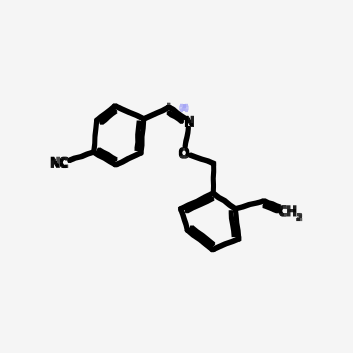 C=Cc1ccccc1CO/N=[C]\c1ccc(C#N)cc1